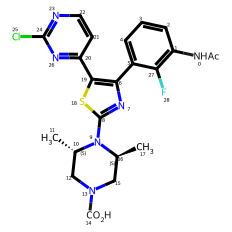 CC(=O)Nc1cccc(-c2nc(N3[C@@H](C)CN(C(=O)O)C[C@@H]3C)sc2-c2ccnc(Cl)n2)c1F